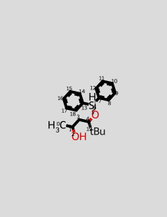 CC(O)CC(O[SiH](c1ccccc1)c1ccccc1)C(C)(C)C